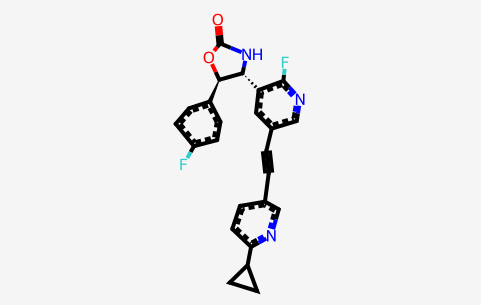 O=C1N[C@H](c2cc(C#Cc3ccc(C4CC4)nc3)cnc2F)[C@@H](c2ccc(F)cc2)O1